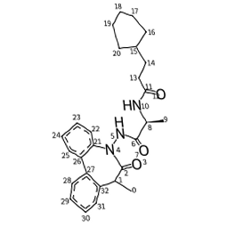 CC1C(=O)N(NC(=O)[C@H](C)NC(=O)CCC2CCCCC2)c2ccccc2-c2ccccc21